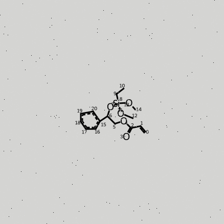 C=CC(=O)OCC(O[Si](CC)(OC)OC)c1ccccc1